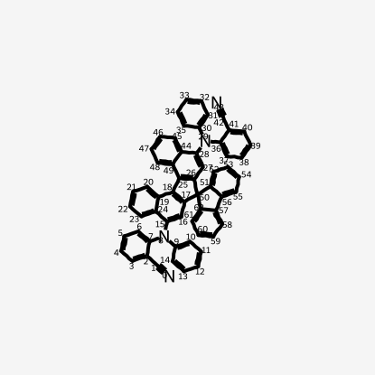 N#Cc1ccccc1N(c1ccccc1)c1cc2c(c3ccccc13)-c1c(cc(N(c3ccccc3)c3ccccc3C#N)c3ccccc13)C21c2ccccc2-c2ccccc21